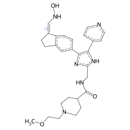 COCCN1CCC(C(=O)NCc2nc(-c3ccc4c(c3)CC/C4=C/NO)c(-c3ccncc3)[nH]2)CC1